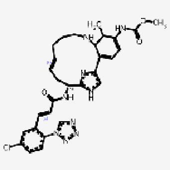 COC(=O)NC1=CC=C2c3c[nH]c(n3)[C@@H](NC(=O)/C=C/c3cc(Cl)ccc3-n3cnnn3)C/C=C/CCCNC2C1C